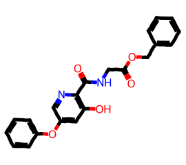 O=C(CNC(=O)c1ncc(Oc2ccccc2)cc1O)OCc1ccccc1